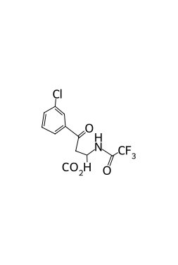 O=C(CC(NC(=O)C(F)(F)F)C(=O)O)c1cccc(Cl)c1